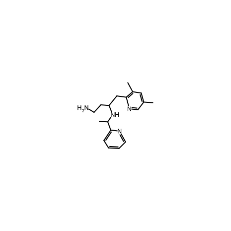 Cc1cnc(CC(CCN)NC(C)c2ccccn2)c(C)c1